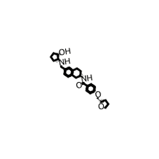 O=C(N[C@H]1CCc2cc(CN[C@H]3CCC[C@@H]3O)ccc2C1)c1ccc(OC[C@@H]2CCCO2)cc1